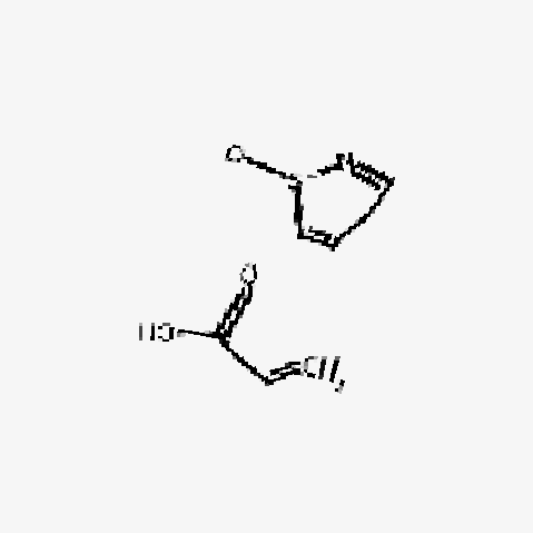 C=CC(=O)O.[O-][s+]1cccn1